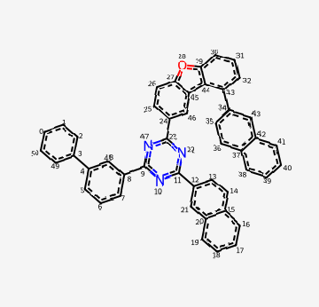 c1ccc(-c2cccc(-c3nc(-c4ccc5ccccc5c4)nc(-c4ccc5oc6cccc(-c7ccc8ccccc8c7)c6c5c4)n3)c2)cc1